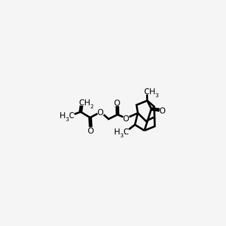 C=C(C)C(=O)OCC(=O)OC12CC3CC(C(=O)C(C)(C3)C1)C2C